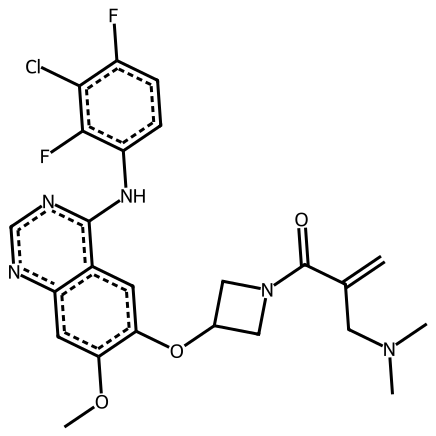 C=C(CN(C)C)C(=O)N1CC(Oc2cc3c(Nc4ccc(F)c(Cl)c4F)ncnc3cc2OC)C1